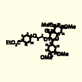 CCOC(=O)c1ccc(OCCOc2c(-c3ccc(OC)c(OC)c3)oc3cc(OC)cc(OC)c3c2=O)cc1